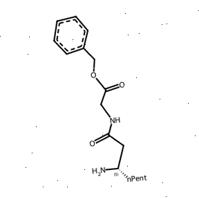 CCCCC[C@H](N)CC(=O)NCC(=O)OCc1ccccc1